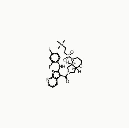 C[Si](C)(C)CCS(=O)(=O)N1CCO[C@@H]2CN(C(=O)c3c(Nc4ccc(I)cc4F)sc4ncccc34)C[C@@H]21